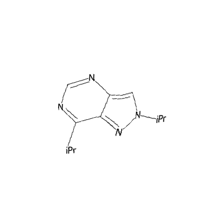 CC(C)c1ncnc2cn(C(C)C)nc12